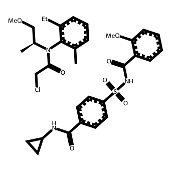 CCc1cccc(C)c1N(C(=O)CCl)[C@@H](C)COC.COc1ccccc1C(=O)NS(=O)(=O)c1ccc(C(=O)NC2CC2)cc1